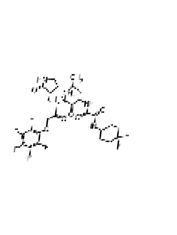 CC(C)C[C@H](NC(=O)C(=O)NC1CCC(F)(F)CC1)C(=O)N[C@@H](C[C@@H]1CCNC1=O)C(=O)COc1c(F)c(F)c(F)c(F)c1F